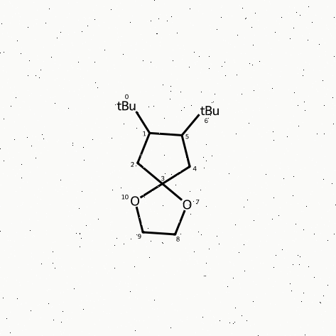 CC(C)(C)C1CC2(CC1C(C)(C)C)OCCO2